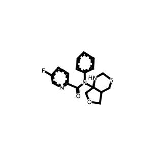 O=C(c1ccc(F)cn1)N(c1ccccc1)C12COCC1CSCN2